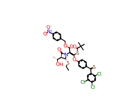 CCS[C@@H]1[C@@H]([C@@H](C)O)C(=O)N1C(C(=O)OCc1ccc([N+](=O)[O-])cc1)=C(Oc1ccc(C(=S)c2cc(Cl)c(Cl)cc2Cl)cc1)SC(=O)C(C)(C)C